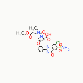 CCOC(=O)CCN(CC)C(=O)N1C[C@@H](Oc2cccc(C3NC(=O)c4cc(S(N)(=O)=O)c(Cl)cc4N3)c2)C[C@H]1C(=O)O